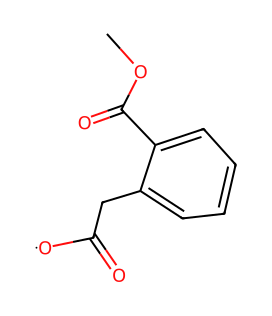 COC(=O)c1ccccc1CC([O])=O